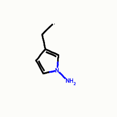 [CH2]Cc1ccn(N)c1